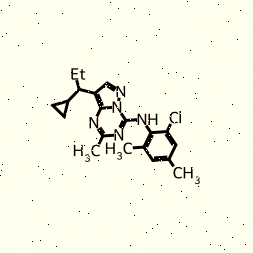 CCC(c1cnn2c(Nc3c(C)cc(C)cc3Cl)nc(C)nc12)C1CC1